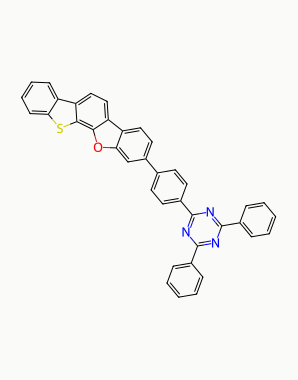 c1ccc(-c2nc(-c3ccccc3)nc(-c3ccc(-c4ccc5c(c4)oc4c5ccc5c6ccccc6sc54)cc3)n2)cc1